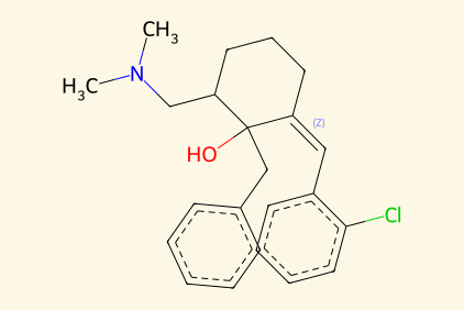 CN(C)CC1CCC/C(=C/c2ccccc2Cl)C1(O)Cc1ccccc1